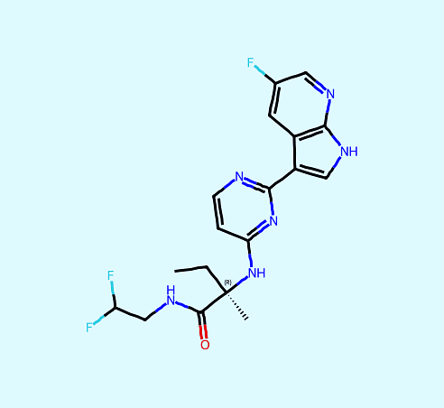 CC[C@@](C)(Nc1ccnc(-c2c[nH]c3ncc(F)cc23)n1)C(=O)NCC(F)F